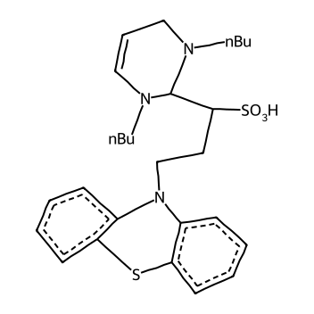 CCCCN1C=CCN(CCCC)C1C(CCN1c2ccccc2Sc2ccccc21)S(=O)(=O)O